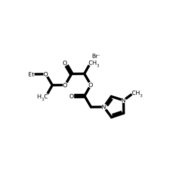 CCOC(C)OC(=O)C(C)OC(=O)C[n+]1ccn(C)c1.[Br-]